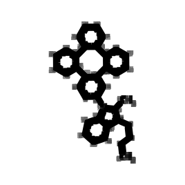 C=C/C=C\c1c(C)n(-c2ccc3c(c2)-c2ccccc2-c2ccccc2-c2ccccc2-3)c2ccccc12